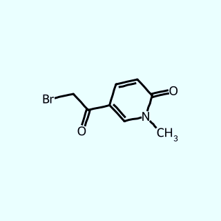 Cn1cc(C(=O)CBr)ccc1=O